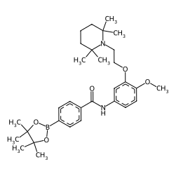 COc1ccc(NC(=O)c2ccc(B3OC(C)(C)C(C)(C)O3)cc2)cc1OCCN1C(C)(C)CCCC1(C)C